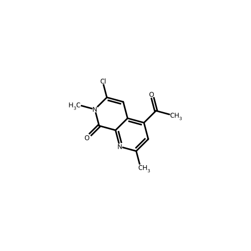 CC(=O)c1cc(C)nc2c(=O)n(C)c(Cl)cc12